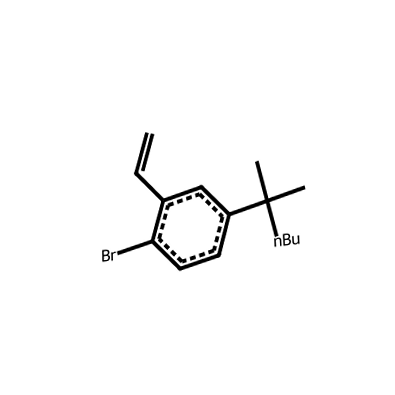 C=Cc1cc(C(C)(C)CCCC)ccc1Br